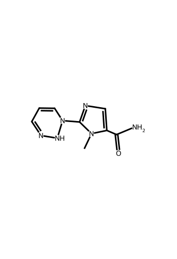 Cn1c(C(N)=O)cnc1N1C=CC=NN1